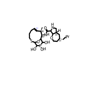 CC(C)C[C@@H]1CCOC2C(C(=O)N[C@H]3C4OC(SCCC/C=C/[C@H]3C)C(O)P(O)C4O)NC[C@@H]2C1